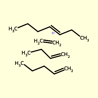 C=C.C=CCC.C=CCCC.CC/C=C/CCC